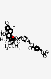 CC1(C)O[C@@H]2CC3C4C[C@H](F)C5=CC(=O)C=C[C@]5(C)C4[C@@H](O)C[C@]3(C)[C@]2(C(=O)COC(=O)CN2CCN(CCOC(=O)c3ccc(CO[N+](=O)[O-])cc3)CC2)O1